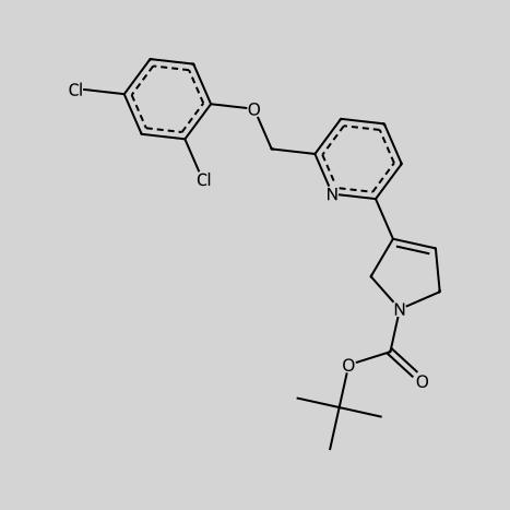 CC(C)(C)OC(=O)N1CC=C(c2cccc(COc3ccc(Cl)cc3Cl)n2)C1